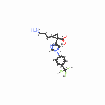 NCCCC1CC1(C(=O)O)c1cn(-c2ccc(C(F)(F)F)cc2)cn1